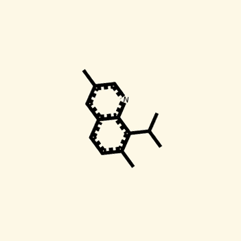 Cc1cnc2c(C(C)C)c(C)ccc2c1